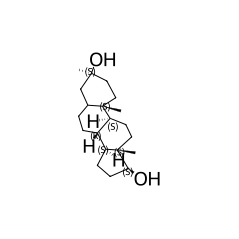 C[C@]1(O)CC[C@@]2(C)C(CC[C@H]3[C@@H]4CC[C@H](O)[C@@]4(C)CC[C@@H]32)C1